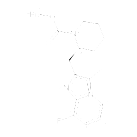 Cc1c(C[C@@H]2CCCCN2C(=O)OC(C)(C)C)nc2c(F)cccn12